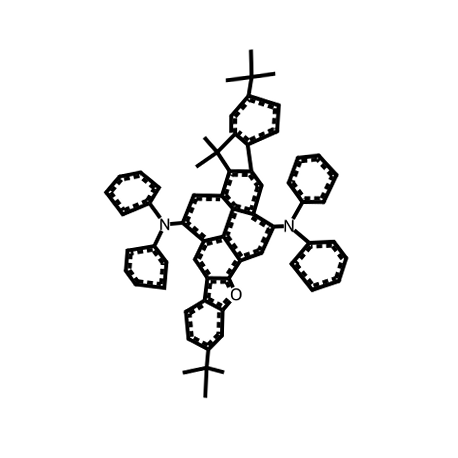 CC(C)(C)c1ccc2c(c1)C(C)(C)c1c-2cc2c(N(c3ccccc3)c3ccccc3)cc3c4oc5cc(C(C)(C)C)ccc5c4cc4c(N(c5ccccc5)c5ccccc5)cc1c2c43